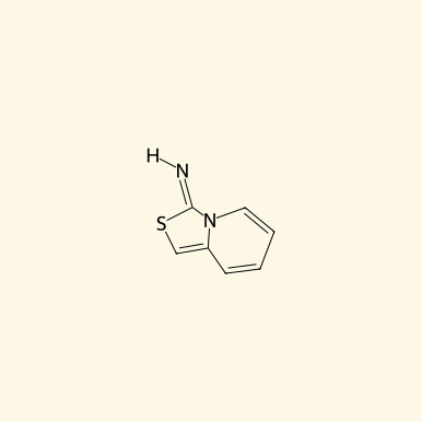 [H]/N=c1\scc2ccccn12